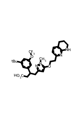 Cn1nc(CC(CC(=O)O)c2cc(OC(F)(F)F)cc(C(C)(C)C)c2)cc1OCCc1ccc2c(n1)NCCC2